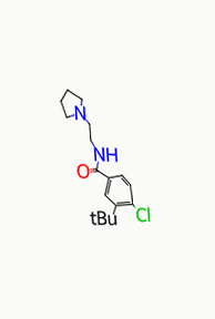 CC(C)(C)c1cc(C(=O)NCCN2CCCC2)ccc1Cl